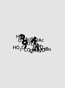 C#C[C@@]1(OC(C)=O)[C@@H](COc2cc(-c3ccc[nH]c3=O)ccc2CC(C(=O)O)C(=O)O)O[C@@H](n2cnc3c(N(C)C(=O)OC(C)(C)C)nc(Cl)nc32)[C@@H]1OC(C)=O